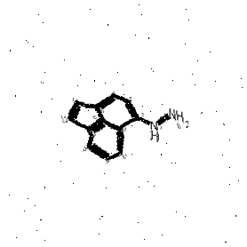 NNc1ccc2c3c(cccc13)C=C2